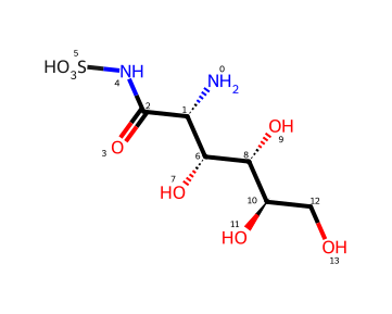 N[C@@H](C(=O)NS(=O)(=O)O)[C@@H](O)[C@H](O)[C@H](O)CO